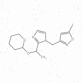 CC(OC1CCCCO1)c1nccn1Cc1cc(I)on1